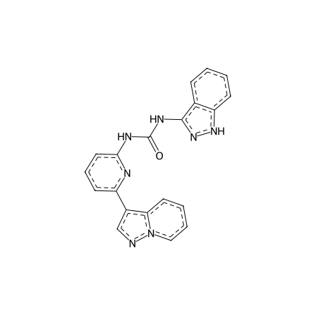 O=C(Nc1cccc(-c2cnn3ccccc23)n1)Nc1n[nH]c2ccccc12